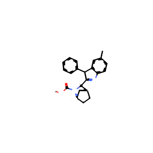 B[C@@]1(C2=Nc3ccc(C)cc3C2c2ccccc2)[C@H]2CC[C@H](C2)N1C(=O)OC(C)(C)C